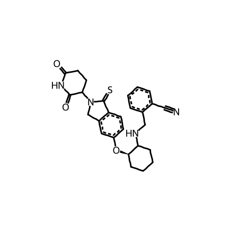 N#Cc1ccccc1CNC1CCCC[C@H]1Oc1ccc2c(c1)CN(C1CCC(=O)NC1=O)C2=S